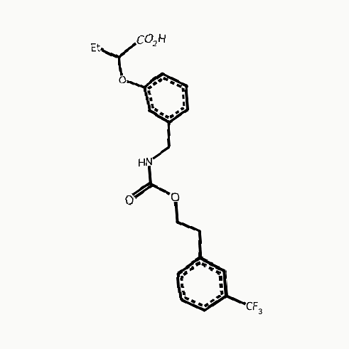 CCC(Oc1cccc(CNC(=O)OCCc2cccc(C(F)(F)F)c2)c1)C(=O)O